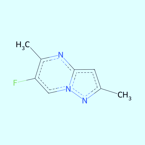 Cc1cc2nc(C)c(F)cn2n1